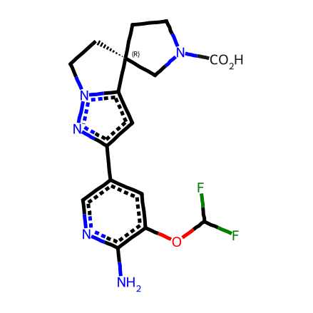 Nc1ncc(-c2cc3n(n2)CC[C@@]32CCN(C(=O)O)C2)cc1OC(F)F